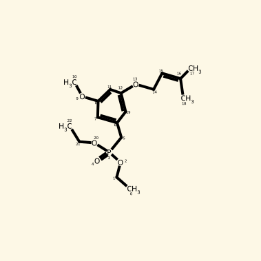 CCOP(=O)(Cc1cc(OC)cc(OCC=C(C)C)c1)OCC